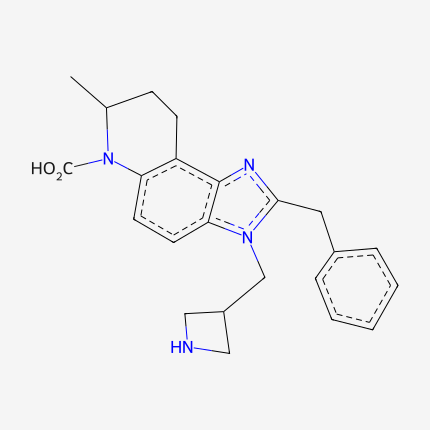 CC1CCc2c(ccc3c2nc(Cc2ccccc2)n3CC2CNC2)N1C(=O)O